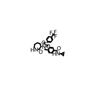 O=C(NC1CC1)c1ccc(CN([C@@H]2CCCCNC2=O)S(=O)(=O)c2ccc(C(F)(F)F)cc2)cc1